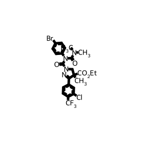 CCOC(=O)C1(C)CN(C(=O)N(C(=O)N(C)C)c2ccc(Br)cc2)N=C1c1ccc(C(F)(F)F)c(Cl)c1